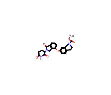 CC(C)(C)OC(=O)N1CCc2ccc(Oc3cccc4c3CN(C3CCC(=O)NC3=O)C4=O)cc2C1